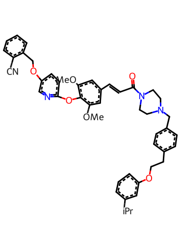 COc1cc(/C=C/C(=O)N2CCN(Cc3ccc(CCOc4cccc(C(C)C)c4)cc3)CC2)cc(OC)c1Oc1ccc(OCc2ccccc2C#N)cn1